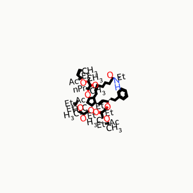 C/C=C\C(CC)(O[C@@H](C)C(=O)C(C)(CCC)O[C@H]1C[C@@H](OC(C)(CC)C(=O)[C@H](C)OC(CC)(CC)C(C)=O)[C@H](/C=C/[C@H](CCc2ccccc2)OC(CC)(CC)C(=O)[C@H](C)OC(C)(CC)C(C)=O)C1C/C=C\CCCC(=O)NCC)C(C)=O